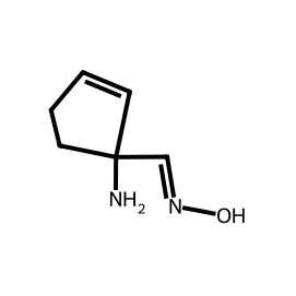 NC1(C=NO)C=CCC1